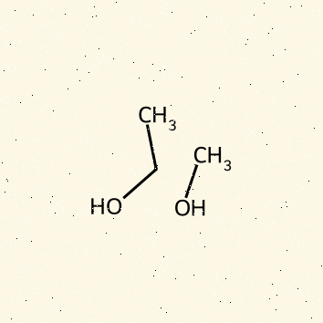 CCO.CO